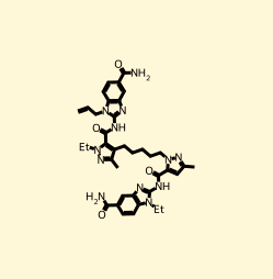 C=CCn1c(NC(=O)c2c(CCCCCn3nc(C)cc3C(=O)Nc3nc4cc(C(N)=O)ccc4n3CC)c(C)nn2CC)nc2cc(C(N)=O)ccc21